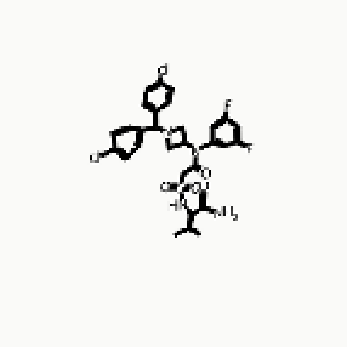 CC(C)C(NS(=O)(=O)CC(=O)N(c1cc(F)cc(F)c1)C1CN(C(c2ccc(Cl)cc2)c2ccc(Cl)cc2)C1)C(N)=O